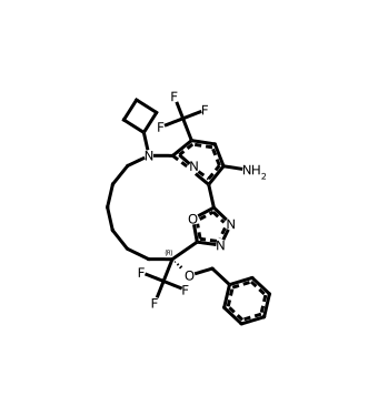 Nc1cc(C(F)(F)F)c2nc1-c1nnc(o1)[C@@](OCc1ccccc1)(C(F)(F)F)CCCCCCN2C1CCC1